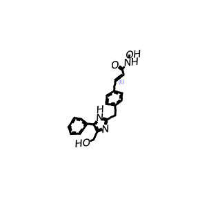 O=C(/C=C/c1ccc(Cc2nc(CO)c(-c3ccccc3)[nH]2)cc1)NO